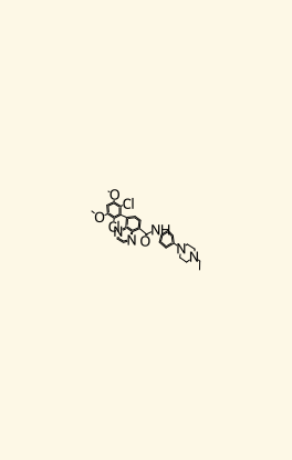 CCN1CCN(c2ccc(NC(=O)c3ccc(-c4c(Cl)c(OC)cc(OC)c4Cl)c4nccnc34)cc2)CC1